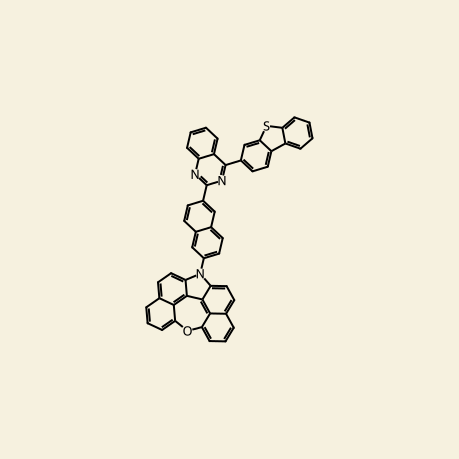 c1ccc2c(-c3ccc4c(c3)sc3ccccc34)nc(-c3ccc4cc(-n5c6ccc7cccc8oc9cccc%10ccc5c(c%109)c6c78)ccc4c3)nc2c1